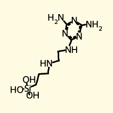 Nc1nc(N)nc(NCCNCCC[Si](O)(O)O)n1